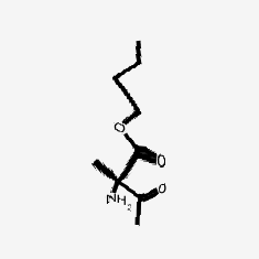 CCCCOC(=O)C(C)(N)C(C)=O